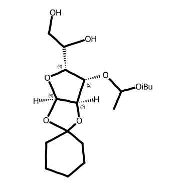 CC(C)COC(C)O[C@@H]1[C@H]2OC3(CCCCC3)O[C@H]2O[C@@H]1C(O)CO